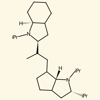 CC(C)[C@@H]1CC2CCC(CC(C)[C@@H]3CC4CCCC[C@@H]4N3C(C)C)[C@@H]2N1C(C)C